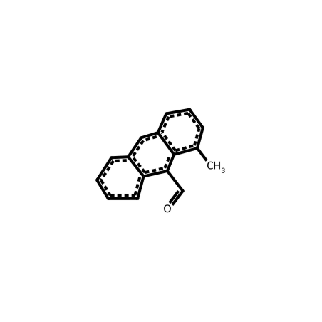 Cc1cccc2cc3ccccc3c(C=O)c12